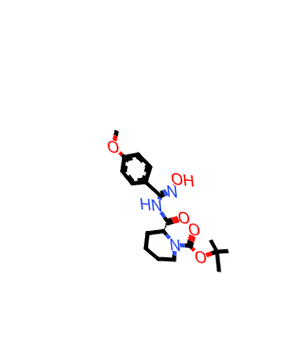 COc1ccc(/C(=N\O)NC(=O)[C@H]2CCCCN2C(=O)OC(C)(C)C)cc1